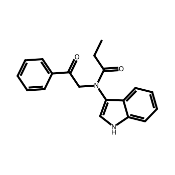 CCC(=O)N(CC(=O)c1ccccc1)c1c[nH]c2ccccc12